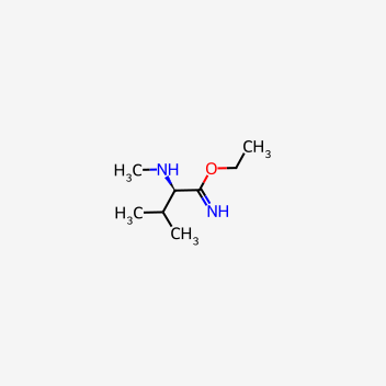 CCOC(=N)[C@H](NC)C(C)C